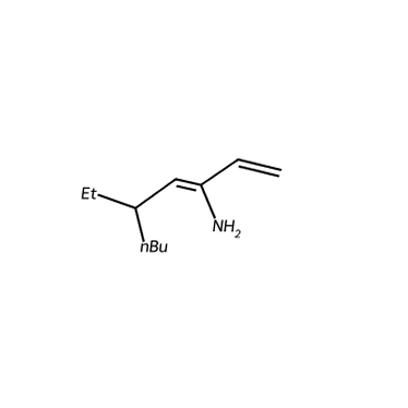 C=CC(N)=CC(CC)CCCC